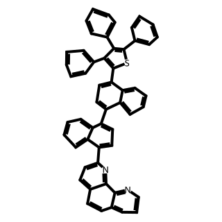 c1ccc(-c2sc(-c3ccc(-c4ccc(-c5ccc6ccc7cccnc7c6n5)c5ccccc45)c4ccccc34)c(-c3ccccc3)c2-c2ccccc2)cc1